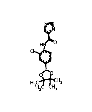 CC1(C)OB(c2ccc(NC(=O)c3cscn3)c(Cl)c2)OC1(C)C